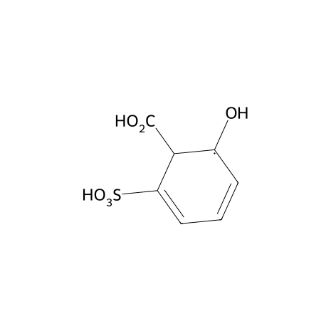 O=C(O)C1[C](O)C=CC=C1S(=O)(=O)O